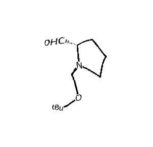 CC(C)(C)OCN1CCC[C@H]1C=O